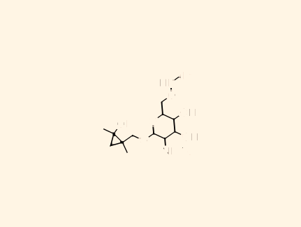 CC(=O)NC1C(OCC2(C)CC2(C)O)OC(COPC(C)C)C(O)C1O